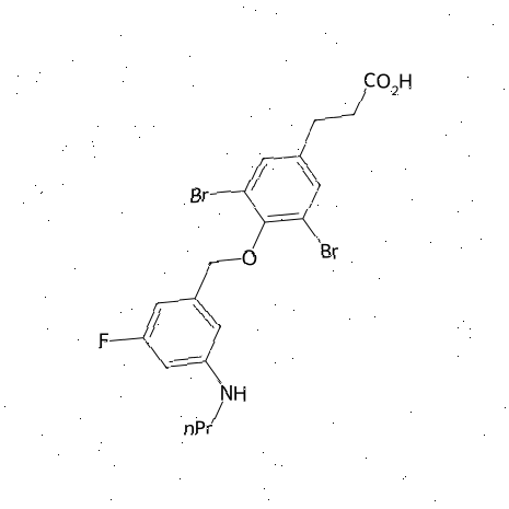 CCCNc1cc(F)cc(COc2c(Br)cc(CCC(=O)O)cc2Br)c1